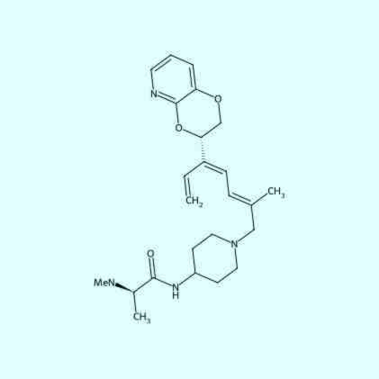 C=C/C(=C\C=C(/C)CN1CCC(NC(=O)[C@@H](C)NC)CC1)[C@H]1COc2cccnc2O1